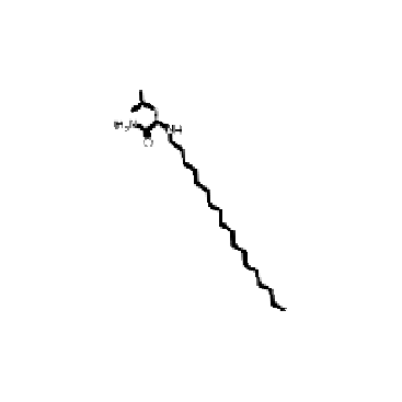 CCCCCCCCCCCCCCCCCCN[C@@H](CC(C)C)C(N)=O